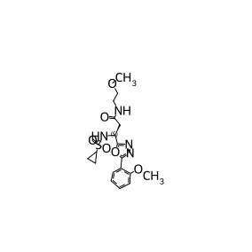 COCCNC(=O)C[C@H](NS(=O)(=O)C1CC1)c1nnc(-c2ccccc2OC)o1